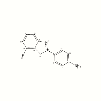 Nc1ccc(-c2nc3cccc(F)c3s2)cc1